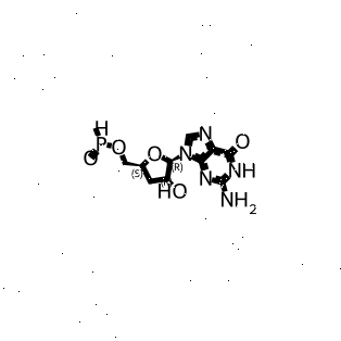 C[PH](=O)OC[C@@H]1C[C@@H](O)[C@H](n2cnc3c(=O)[nH]c(N)nc32)O1